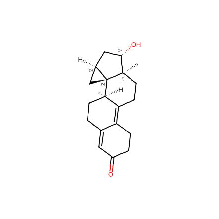 C[C@]12CCC3=C4CCC(=O)C=C4CC[C@H]3[C@@]13C[C@H]3C[C@@H]2O